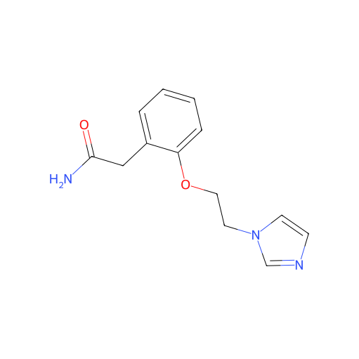 NC(=O)Cc1ccccc1OCCn1ccnc1